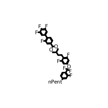 CCCCCc1ccc(C(F)(F)Oc2cc(F)c(CCC3COC(c4ccc(-c5cc(F)c(F)c(F)c5)c(F)c4)OC3)c(F)c2)c(F)c1